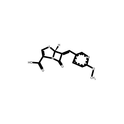 COc1ccc(C=C2C(=O)N3C(C(=O)O)=CS[C@H]23)cn1